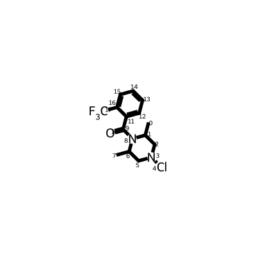 CC1CN(Cl)CC(C)N1C(=O)c1ccccc1C(F)(F)F